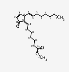 CCCCCCC=CC1C=CC(=O)C1=CCCCCCC(=O)OC